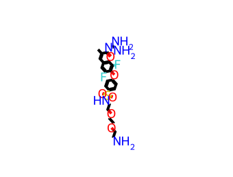 CC(=Cc1cc(F)c(Oc2ccc(S(=O)(=O)NCCOCCOCCN)cc2)c(F)c1)C(=O)N=C(N)N